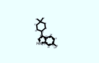 CC1(C)CCC(c2c[nH]c3cc(F)ccc23)CC1